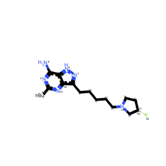 CCCCc1nc(N)c2[nH]nc(CCCCCN3CC[C@H](F)C3)c2n1